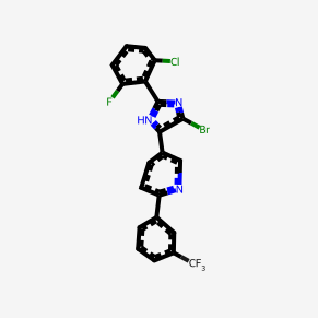 Fc1cccc(Cl)c1-c1nc(Br)c(-c2ccc(-c3cccc(C(F)(F)F)c3)nc2)[nH]1